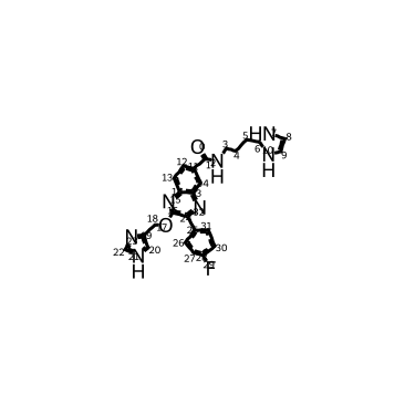 O=C(NCCCC1NC=CN1)c1ccc2nc(OCc3c[nH]cn3)c(-c3ccc(F)cc3)nc2c1